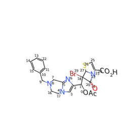 CC(=O)OC(c1cn2c(n1)CN(Cc1ccccc1)CC2)C1(Br)C(=O)N2C(C(=O)O)=CSC21